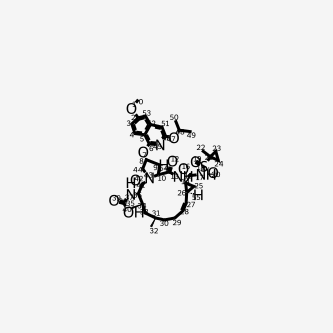 COc1ccc2c(O[C@@H]3C[C@H]4C(=O)N[C@]5(C(=O)NS(=O)(=O)C6(C)CC6)C[C@H]5C=CCC[C@@H](C)C[C@@H](C)[C@H](NC(=O)O)C(=O)N4C3)nc(OC(C)C)cc2c1